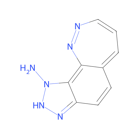 NN1NN=c2ccc3c(c21)N=NC=CC=3